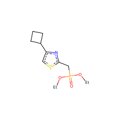 CCOP(=O)(Cc1nc(C2CCC2)cs1)OCC